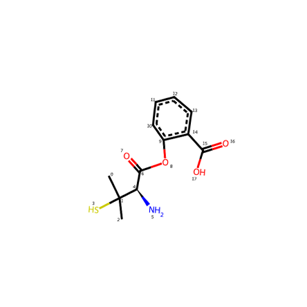 CC(C)(S)[C@H](N)C(=O)Oc1ccccc1C(=O)O